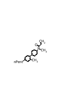 C=CC(=O)N(C)c1ccc(-c2ccc(CCCCC)cc2C)cc1